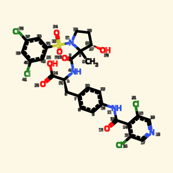 CC1(C(=O)N[C@@H](Cc2ccc(NC(=O)c3c(Cl)cncc3Cl)cc2)C(=O)O)[C@@H](O)CCN1S(=O)(=O)c1cc(Cl)cc(Cl)c1